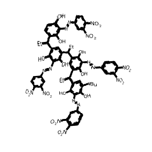 CCC(C)c1cc(C(CC)c2cc(C(CC)c3cc(C(CC)c4ccc(O)c(N=Nc5ccc([N+](=O)[O-])c([N+](=O)[O-])c5)c4O)c(O)c(N=Nc4ccc([N+](=O)[O-])c([N+](=O)[O-])c4)c3O)c(O)c(N=Nc3ccc([N+](=O)[O-])c([N+](=O)[O-])c3)c2O)c(O)c(N=Nc2ccc([N+](=O)[O-])c([N+](=O)[O-])c2)c1O